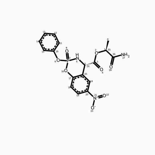 C[C@H](OC(=O)[C@H]1NP(=O)(Oc2ccccc2)Oc2ccc([N+](=O)[O-])cc21)C(N)=O